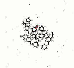 C#CCC(NC(=O)CN1CCOCC1)C(=O)NC(Cc1ccc(OC)cc1)C(=O)NC(CC1=CCCC1)C(=O)C1(CC2CN(CC(=O)NC(CO)C(=O)NC(C(=O)NC(CC3=CCCC3)C(=O)C3(C)CO3)C(O)c3ccc(OC)cc3)CCO2)CO1